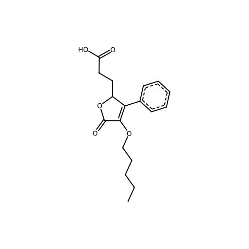 CCCCCOC1=C(c2ccccc2)C(CCC(=O)O)OC1=O